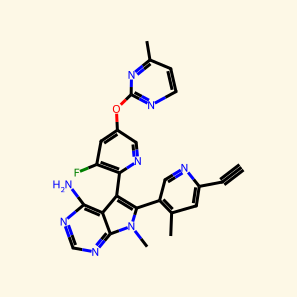 C#Cc1cc(C)c(-c2c(-c3ncc(Oc4nccc(C)n4)cc3F)c3c(N)ncnc3n2C)cn1